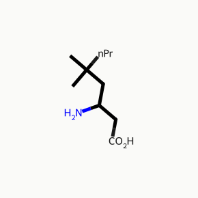 CCCC(C)(C)CC(N)CC(=O)O